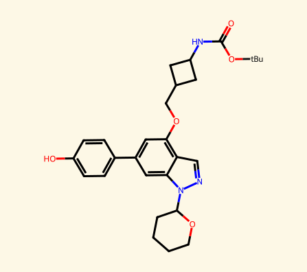 CC(C)(C)OC(=O)NC1CC(COc2cc(-c3ccc(O)cc3)cc3c2cnn3C2CCCCO2)C1